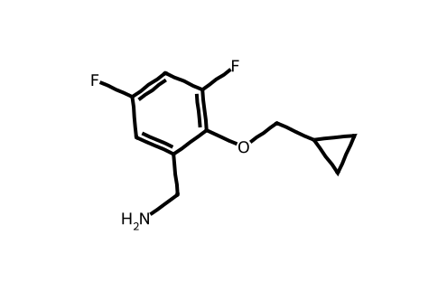 NCc1cc(F)cc(F)c1OCC1CC1